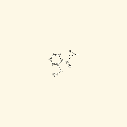 NCc1cccnc1C(=O)C1CC1